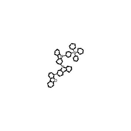 c1ccc([Si](c2ccccc2)(c2ccccc2)c2ccc(-n3c4ccccc4c4ccc(-n5c6ccccc6c6ccc(-c7cccc8c7oc7ccccc78)cc65)cc43)cc2)cc1